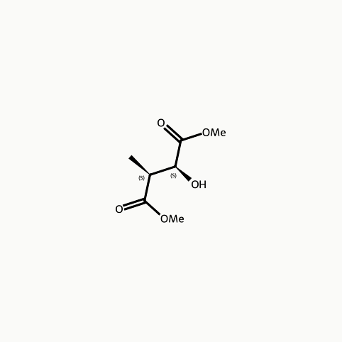 COC(=O)[C@@H](C)[C@H](O)C(=O)OC